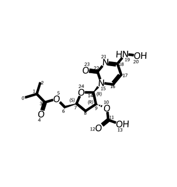 CC(C)C(=O)OC[C@@H]1C[C@@H](OC(=O)O)[C@H](n2ccc(NO)nc2=O)O1